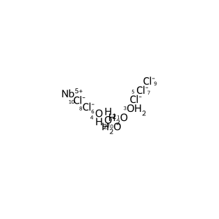 O.O.O.O.O.[Cl-].[Cl-].[Cl-].[Cl-].[Cl-].[Nb+5]